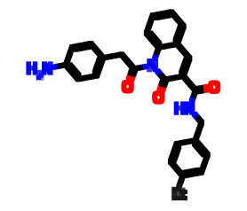 CCc1ccc(CNC(=O)c2cc3ccccc3n(C(=O)Cc3ccc(N)cc3)c2=O)cc1